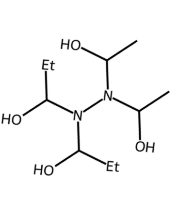 CCC(O)N(C(O)CC)N(C(C)O)C(C)O